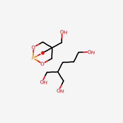 OCC12COP(OC1)OC2.OCCCC(CO)CO